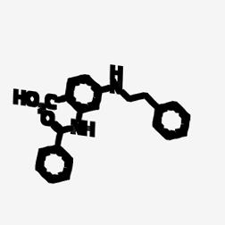 O=C(Nc1cc(NCCc2ccccc2)ccc1C(=O)O)c1ccccc1